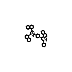 c1ccc(-c2cc(-c3ccc(-c4nc(-c5cccc6ccccc56)cc(-c5cccc6ccccc56)n4)cc3)c3c(ccc4ccccc43)n2)cc1